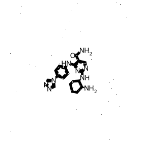 NC(=O)c1cnc(N[C@@H]2CCCC[C@@H]2N)nc1Nc1ccc(-n2cnnc2)cc1